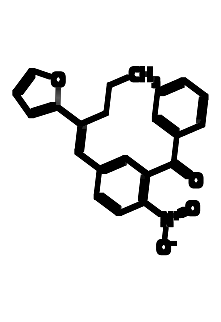 CCCC(=Cc1ccc([N+](=O)[O-])c(C(=O)c2ccccc2)c1)c1ccco1